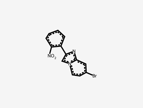 O=[N+]([O-])c1ccccc1-c1cn2ccc(Br)cc2n1